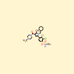 Cc1c(C(=O)N2CCN(C)CC2)cc(-c2ccc(S(=O)(=O)NC(C)(C)C)c(Cl)c2Cl)n1CC1CCCCC1